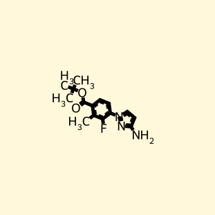 Cc1c(C(=O)OC(C)(C)C)ccc(-n2ccc(N)n2)c1F